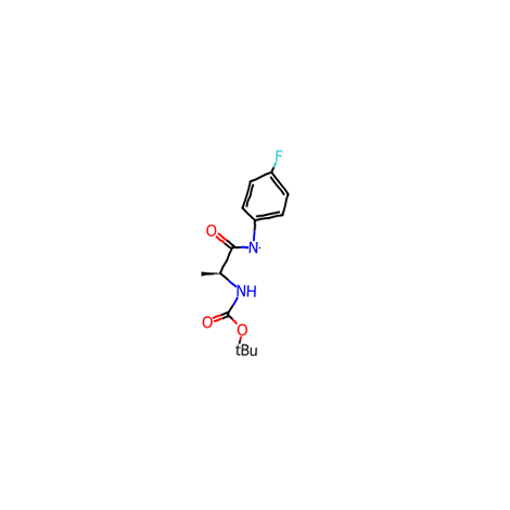 C[C@H](NC(=O)OC(C)(C)C)C(=O)[N]c1ccc(F)cc1